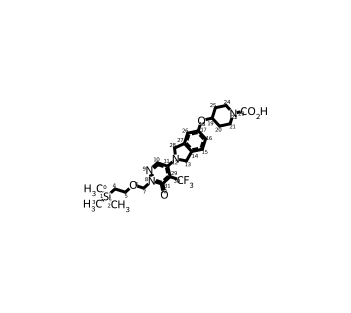 C[Si](C)(C)CCOCn1ncc(N2Cc3ccc(OC4CCN(C(=O)O)CC4)cc3C2)c(C(F)(F)F)c1=O